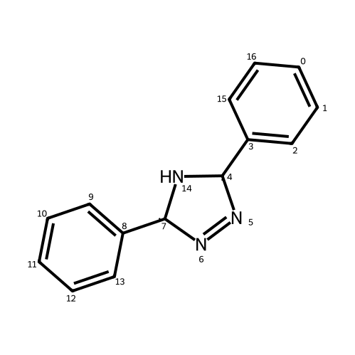 c1ccc([C]2N=N[C](c3ccccc3)N2)cc1